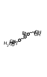 C=C(C)C(=O)OCCCc1ccc(CCc2ccc(-c3ccc(CCCC(CO)CO)cc3CC)c(F)c2)cc1